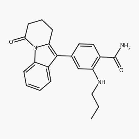 CCCNc1cc(-c2c3n(c4ccccc24)C(=O)CCC3)ccc1C(N)=O